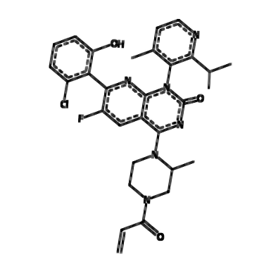 C=CC(=O)N1CCN(c2nc(=O)n(-c3c(C)ccnc3C(C)C)c3nc(-c4c(O)cccc4Cl)c(F)cc23)C(C)C1